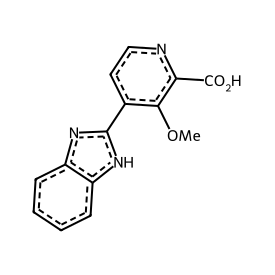 COc1c(-c2nc3ccccc3[nH]2)ccnc1C(=O)O